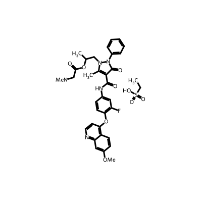 CCS(=O)(=O)O.CNCC(=O)OC(C)Cn1c(C)c(C(=O)Nc2ccc(Oc3ccnc4cc(OC)ccc34)c(F)c2)c(=O)n1-c1ccccc1